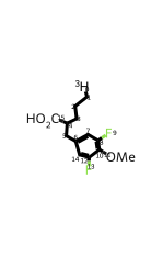 [3H]CCCC(Cc1cc(F)c(OC)c(F)c1)C(=O)O